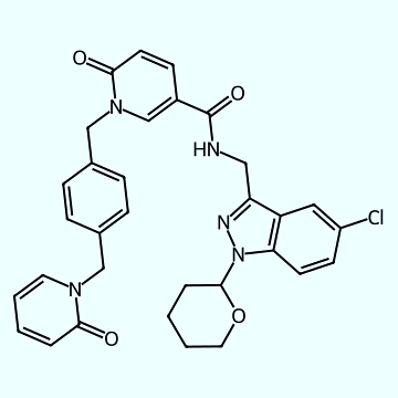 O=C(NCc1nn(C2CCCCO2)c2ccc(Cl)cc12)c1ccc(=O)n(Cc2ccc(Cn3ccccc3=O)cc2)c1